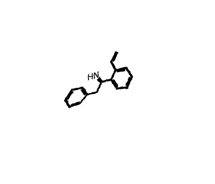 C=Cc1ccccc1C(=N)Cc1ccccc1